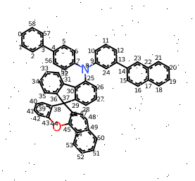 c1ccc(-c2ccc(N(c3cccc(-c4ccc5ccccc5c4)c3)c3cccc4c3-c3ccccc3C43c4ccccc4Oc4c3ccc3ccccc43)cc2)cc1